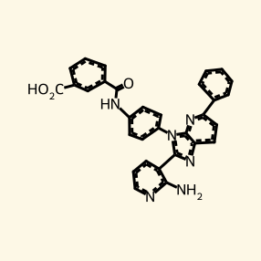 Nc1ncccc1-c1nc2ccc(-c3ccccc3)nc2n1-c1ccc(NC(=O)c2cccc(C(=O)O)c2)cc1